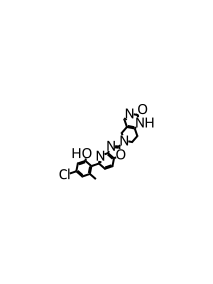 Cc1cc(Cl)cc(O)c1-c1ccc2oc(N3CCc4[nH]c(=O)ncc4C3)nc2n1